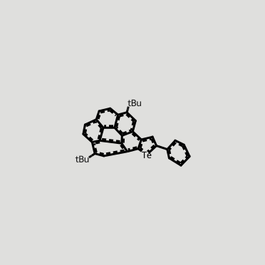 CC(C)(C)c1cc2c3cc(-c4ccccc4)[te]c3c3cc(C(C)(C)C)c4ccc5ccc1c1c5c4c3c21